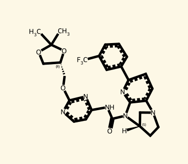 CC1(C)OC[C@@H](COc2nccc(NC(=O)N3c4nc(-c5cccc(C(F)(F)F)c5)ccc4N4CC[C@H]3C4)n2)O1